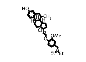 CCN(CC)Cc1ccc(OCC[C@H]2CC[C@H]3[C@@H]4C(C)Cc5cc(O)ccc5[C@H]4CC[C@]23C)c(OC)c1